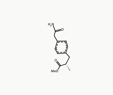 COC(=O)[C@@H](C)Cc1ccc(CC(N)=O)cc1